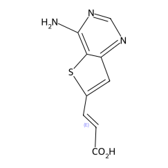 Nc1ncnc2cc(/C=C/C(=O)O)sc12